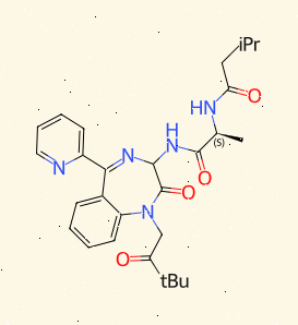 CC(C)CC(=O)N[C@@H](C)C(=O)NC1N=C(c2ccccn2)c2ccccc2N(CC(=O)C(C)(C)C)C1=O